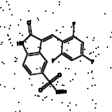 CNS(=O)(=O)c1ccc2c(c1)C(=Cc1c(F)cc(F)cc1F)C(=O)N2